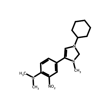 CN1CN(C2CCCCC2)C=C1c1ccc(N(C)C)c([N+](=O)[O-])c1